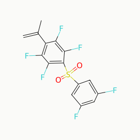 C=C(C)c1c(F)c(F)c(S(=O)(=O)c2cc(F)cc(F)c2)c(F)c1F